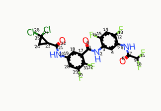 O=C(Nc1cc(NC(=O)C(F)F)c(F)cc1F)c1cc(NC(=O)C2CC2(Cl)Cl)cc(F)c1F